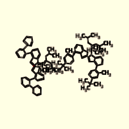 CC(C)C[C](CC(C)C)=[Hf]([CH3])([CH3])([CH]1C=Cc2c(-c3ccccc3-c3ccccc3)cccc21)[CH]1C=Cc2c(-c3ccccc3-c3ccccc3)cccc21.Cc1cc(C(C)(C)C)ccc1-c1cccc2c1C=C[CH]2[Hf]([CH3])([CH3])(=[C](CC(C)C)CC(C)C)[CH]1C=Cc2c(-c3ccc(C(C)(C)C)cc3C)cccc21